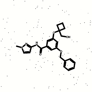 Cn1ccc(NC(=O)c2cc(OCc3ccccc3)cc(OC3(CO)CCC3)c2)n1